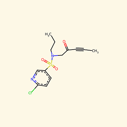 CC#CC(=O)CN(CCC)S(=O)(=O)c1ccc(Cl)nc1